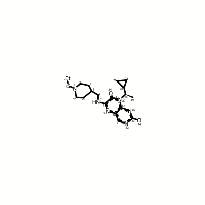 CCSN1CCC(CNc2nc3cnc(Cl)nc3n([C@H](C)C3CC3)c2=O)CC1